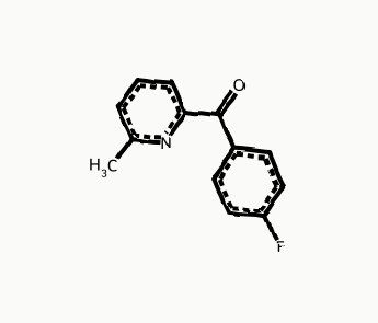 Cc1cccc(C(=O)c2ccc(F)cc2)n1